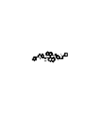 O=C(/C=C\c1ccc(C(=O)Oc2ccc3ccccc3c2-c2c(OC(=O)c3ccc(/C=C\C(=O)c4ccccc4)cc3)ccc3ccccc23)cc1)c1ccccc1